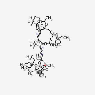 CCOC(C)O[C@]1(C)CC[C@@H](O[Si](CC)(CC)CC)CC(=O)O[C@H](/C(C)=C/C=C/[C@@](C)(C[C@@H]2O[C@H]2[C@H](C)[C@H](CC)O[Si](CC)(CC)CC)O[Si](CC)(CC)CC)[C@@H](C)/C=C/[C@@H]1OC(C)=O